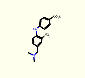 CN(C)Cc1ccc(Nc2ccc(C(=O)O)cc2)c([N+](=O)[O-])c1